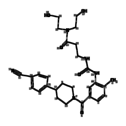 Cc1ccc(C(=O)N2CCC(c3ccc(C#N)cc3)CC2)cc1NC(=O)NCCC(=O)N(CCO)CCO